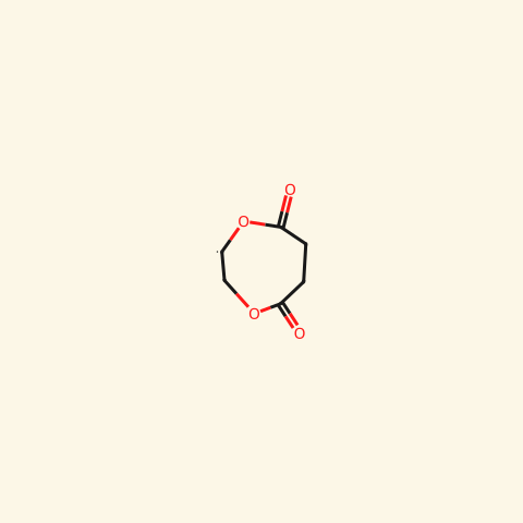 O=C1CCC(=O)OC[CH]O1